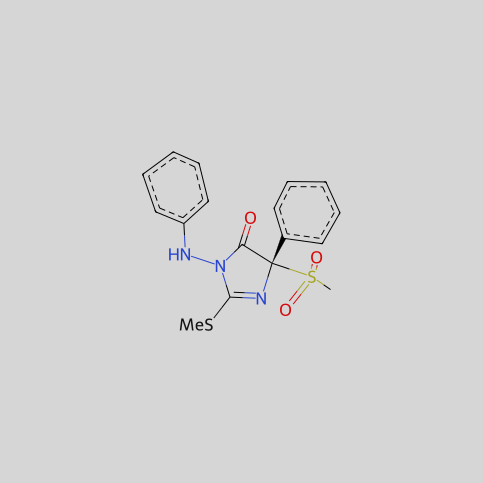 CSC1=N[C@@](c2ccccc2)(S(C)(=O)=O)C(=O)N1Nc1ccccc1